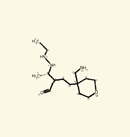 CCNN[C@@H](C)C(C=O)CCC1(CN)CCOCC1